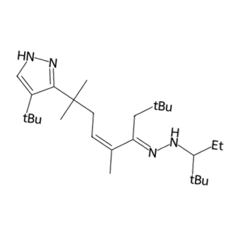 CCC(N/N=C(CC(C)(C)C)/C(C)=C\CC(C)(C)c1n[nH]cc1C(C)(C)C)C(C)(C)C